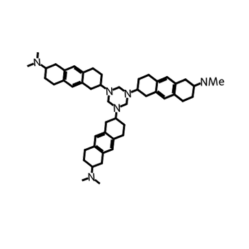 CNC1CCc2cc3c(cc2C1)CCC(N1CN(C2CCc4cc5c(cc4C2)CCC(N(C)C)C5)CN(C2CCc4cc5c(cc4C2)CCC(N(C)C)C5)C1)C3